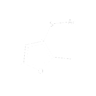 CC(=O)Sc1ccoc1C